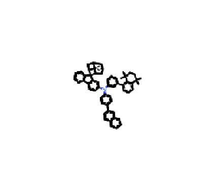 CC1(C)CCC(C)(C)c2c(-c3cccc(N(c4ccc(-c5ccc6ccccc6c5)cc4)c4ccc5c(c4)C4(c6ccccc6-5)C5CC6CC7CC4C75C6)c3)cccc21